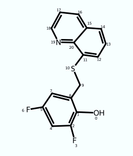 Oc1c(F)cc(F)cc1CSc1cccc2cccnc12